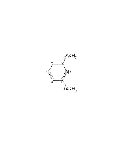 [AsH2]c1cccc([AsH2])n1